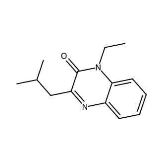 CCn1c(=O)c(CC(C)C)nc2ccccc21